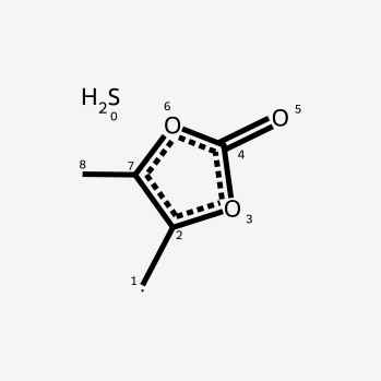 S.[CH2]c1oc(=O)oc1C